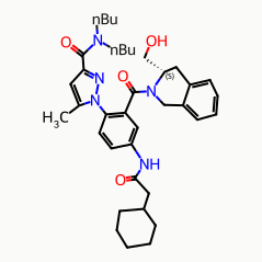 CCCCN(CCCC)C(=O)c1cc(C)n(-c2ccc(NC(=O)CC3CCCCC3)cc2C(=O)N2Cc3ccccc3C[C@H]2CO)n1